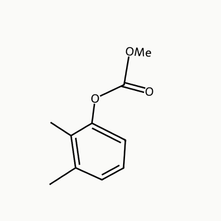 COC(=O)Oc1cccc(C)c1C